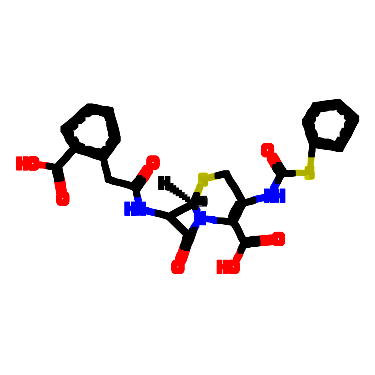 O=C(Cc1ccccc1C(=O)O)NC1C(=O)N2C(C(=O)O)=C(NC(=O)Sc3ccccc3)CS[C@H]12